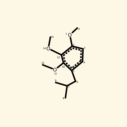 COc1ccc(CC(C)C)c(OC)c1OC